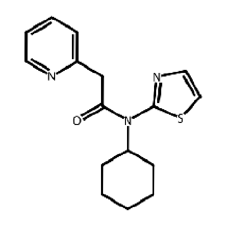 O=C(Cc1ccccn1)N(c1nccs1)C1CCCCC1